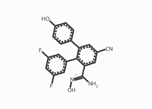 N#Cc1cc(/C(N)=N/O)c(-c2cc(F)cc(F)c2)c(-c2ccc(O)cc2)c1